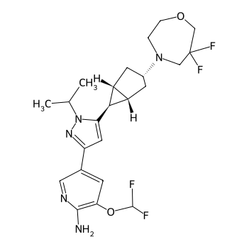 CC(C)n1nc(-c2cnc(N)c(OC(F)F)c2)cc1[C@H]1[C@@H]2C[C@H](N3CCOCC(F)(F)C3)C[C@@H]21